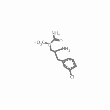 NC(=O)N(CC(N)Cc1cccc(Cl)c1)C(=O)O